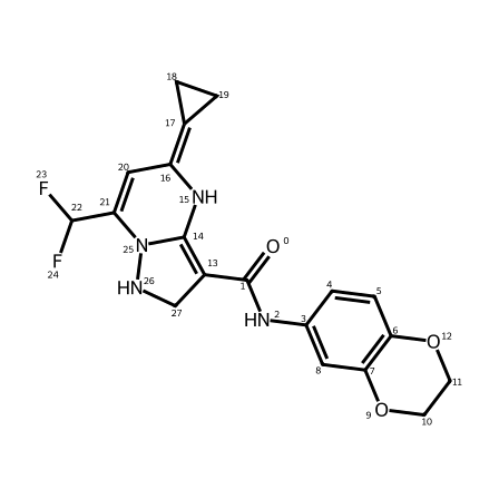 O=C(Nc1ccc2c(c1)OCCO2)C1=C2NC(=C3CC3)C=C(C(F)F)N2NC1